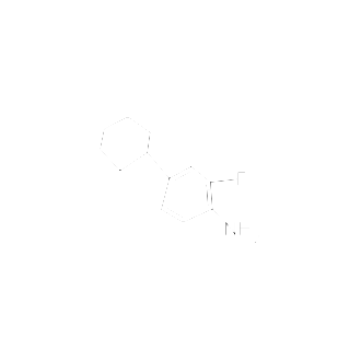 Nc1ccc(C2CCCCC2)cc1F